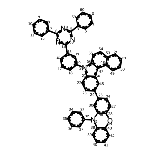 c1ccc(-c2nc(-c3ccccc3)nc(-c3cccc(-n4c5ccc(-c6ccc7c(c6)N(c6ccccc6)c6ccccc6O7)cc5c5c6ccccc6ccc54)c3)n2)cc1